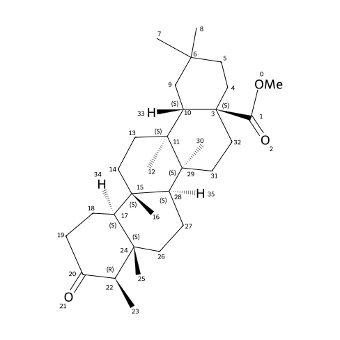 COC(=O)[C@]12CCC(C)(C)C[C@H]1[C@]1(C)CC[C@@]3(C)[C@@H]4CCC(=O)[C@H](C)[C@@]4(C)CC[C@@H]3[C@]1(C)CC2